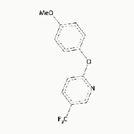 COc1ccc(Oc2ccc(C(F)(F)F)cn2)cc1